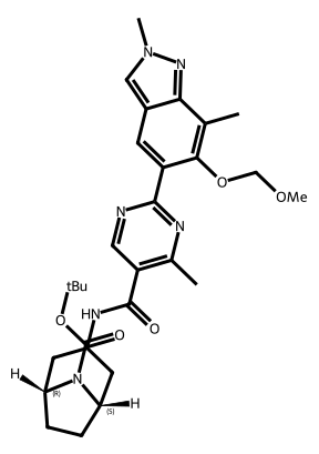 COCOc1c(-c2ncc(C(=O)NC3C[C@H]4CC[C@@H](C3)N4C(=O)OC(C)(C)C)c(C)n2)cc2cn(C)nc2c1C